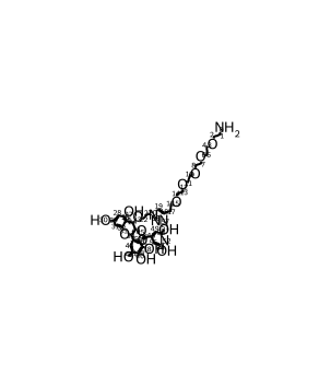 NCCOCCOCCOCCOCCOCCc1cn(CCOC2c3c(O)cc(O)cc3OC(c3cc(O)c(O)c(O)c3)C2OC(=O)c2cc(O)nc(O)c2)nn1